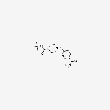 CC(C)(C)OC(=O)N1CCN(Cc2ccc(C(N)=O)cc2)CC1